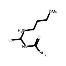 CCC(NC(N)=O)[SiH2]CCCOC